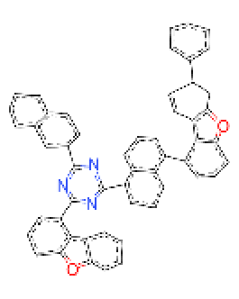 C1=CC(c2ccccc2)Cc2oc3cccc(-c4cccc5c(-c6nc(-c7ccc8ccccc8c7)nc(-c7cccc8oc9ccccc9c78)n6)cccc45)c3c21